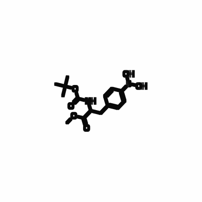 COC(=O)C(Cc1ccc(B(O)O)cc1)NC(=O)OC(C)(C)C